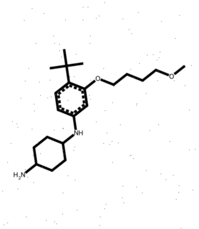 COCCCCOc1cc(NC2CCC(N)CC2)ccc1C(C)(C)C